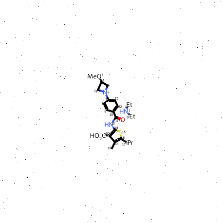 CCNCC.COC1CN(c2ccc(C(=O)Nc3sc(C(C)C)c(C)c3C(=O)O)cc2)C1